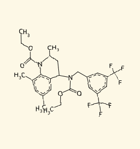 CCOC(=O)N(Cc1cc(C(F)(F)F)cc(C(F)(F)F)c1)C1CC(C)N(C(=O)OCC)c2c(C)cc(C)cc21